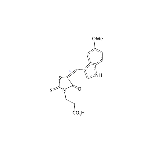 COc1ccc2[nH]cc(/C=C3/SC(=S)N(CCC(=O)O)C3=O)c2c1